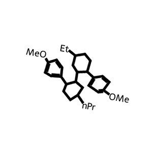 CCCC1CCC(c2ccc(OC)cc2)C(C2CC(CC)CCC2c2ccc(OC)cc2)C1